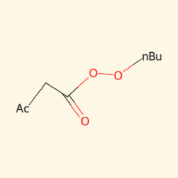 CCCCOOC(=O)CC(C)=O